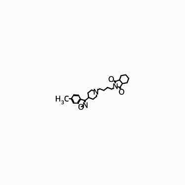 Cc1ccc2c(C3CCN(CCCCN4C(=O)C5CCCCC5C4=O)CC3)noc2c1